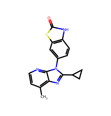 Cc1ccnc2c1nc(C1CC1)n2-c1ccc2[nH]c(=O)sc2c1